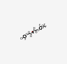 O=C(COc1ccc(Cl)c(F)c1)NC12CC(NC(=O)COc3ccc(OC(F)(F)F)c(F)c3)(C1)C2